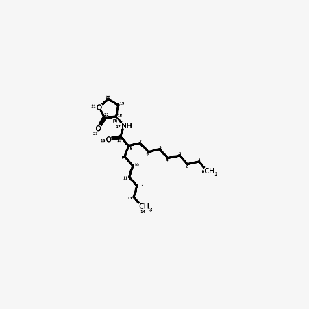 CCCCCCCCC(CCCCCC)C(=O)N[C@@H]1CCOC1=O